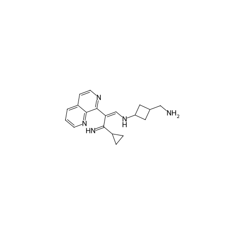 N=C(/C(=C\NC1CC(CN)C1)c1nccc2cccnc12)C1CC1